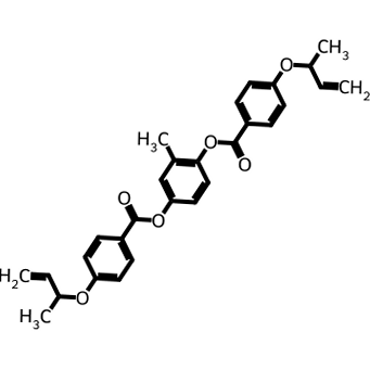 C=CC(C)Oc1ccc(C(=O)Oc2ccc(OC(=O)c3ccc(OC(C)C=C)cc3)c(C)c2)cc1